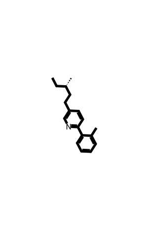 CC[C@H](C)CCc1ccc(-c2ccccc2C)nc1